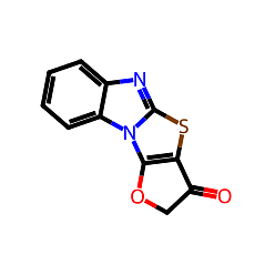 O=C1COc2c1sc1nc3ccccc3n21